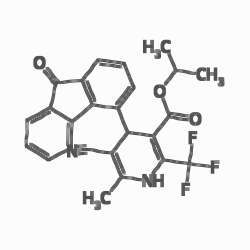 CC1=C(C#N)C(c2cccc3c2-c2ccccc2C3=O)C(C(=O)OC(C)C)=C(C(F)(F)F)N1